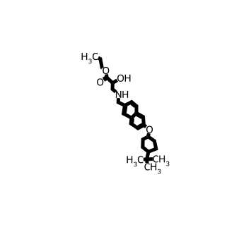 CCCOC(=O)C(O)CNCc1ccc2cc(OC3CCC(C(C)(C)C)CC3)ccc2c1